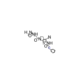 N#Cc1c(NC(=O)/C=C/c2ccccc2)sc2c1CCN(C(=O)CCNC(N)=O)C2